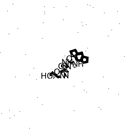 C[C@@]1(CO)Cn2ncc([S@](N)(=O)=NC(=O)Nc3c4c(cc5c3CCC5)CCC4)c2O1